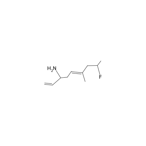 C=CC(N)C/C=C(\C)CC(C)F